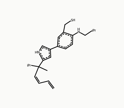 C=C/C=C\C(C)(c1cc(-c2ccc(NCC(C)C)c(CS)c2)c[nH]1)C(C)C